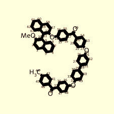 COc1ccc2ccccc2c1-c1c(Oc2ccc(C(=O)c3ccc(Oc4ccc(-c5ccc(Oc6ccc(C(=O)c7ccc(C)cc7)cc6)cc5)cc4)cc3)cc2)ccc2ccccc12